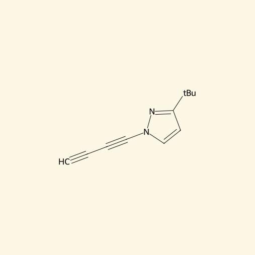 C#CC#Cn1ccc(C(C)(C)C)n1